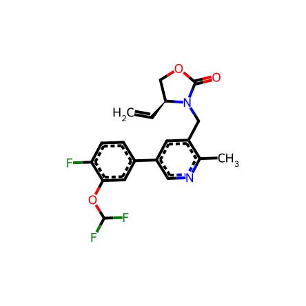 C=C[C@H]1COC(=O)N1Cc1cc(-c2ccc(F)c(OC(F)F)c2)cnc1C